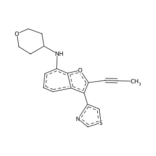 CC#Cc1oc2c(NC3CCOCC3)cccc2c1-c1cscn1